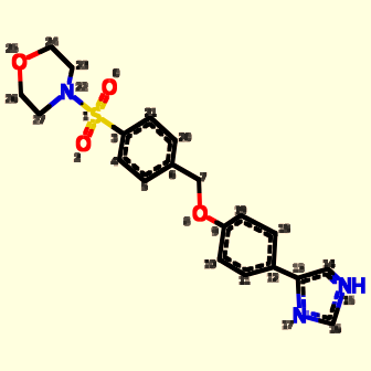 O=S(=O)(c1ccc(COc2ccc(-c3c[nH]cn3)cc2)cc1)N1CCOCC1